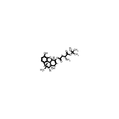 CN1CC[C@]23c4c5ccc(O)c4O[C@H]2C(OC(=O)C[C@H](N)C(=O)OC(C)(C)C)=CC[C@@]3(O)[C@H]1C5